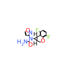 NC(=O)N(c1ccon1)[C@@H]1[C@H]2COc3c(F)ccc(F)c3[C@@H]21